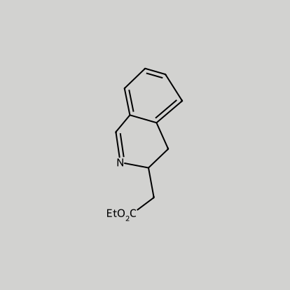 CCOC(=O)CC1Cc2ccccc2C=N1